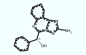 Nc1nc2c3ccccc3nc([C@H](O)c3ccccc3)n2n1